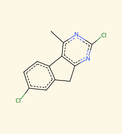 Cc1nc(Cl)nc2c1-c1ccc(Cl)cc1C2